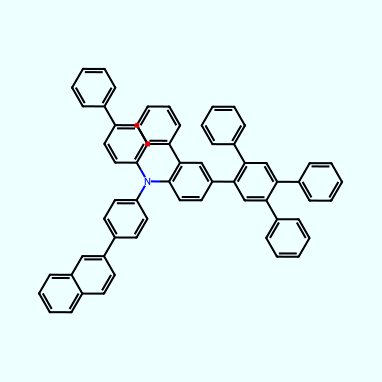 c1ccc(-c2ccc(N(c3ccc(-c4ccc5ccccc5c4)cc3)c3ccc(-c4cc(-c5ccccc5)c(-c5ccccc5)cc4-c4ccccc4)cc3-c3ccccc3)cc2)cc1